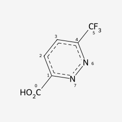 O=C(O)c1ccc(C(F)(F)F)nn1